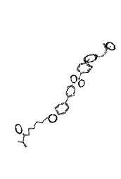 C=C(C)C(=O)CCCCCCOc1ccc(-c2ccc(OC(=O)c3ccc(OCC4CO4)cc3)cc2)cc1